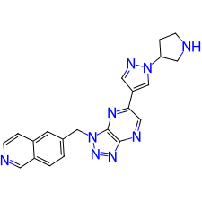 c1cc2cc(Cn3nnc4ncc(-c5cnn(C6CCNC6)c5)nc43)ccc2cn1